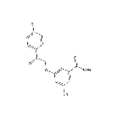 COC(=O)c1cc(C#N)cc(OCC(=O)c2ccc(F)cc2)c1